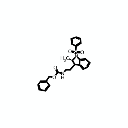 C[C@@H]1C(CCNC(=O)OCc2ccccc2)c2ccccc2N1S(=O)(=O)c1ccccc1